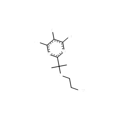 COCCOC(F)(F)c1nc(C(F)(F)F)c(F)c(C(F)(F)F)n1